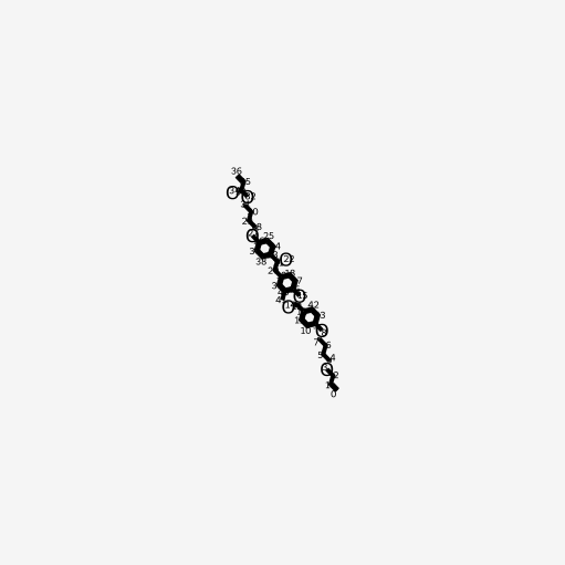 C=CCOCCCCOc1ccc(C(=O)Oc2ccc(CC(=O)c3ccc(OCCCCOC(=O)C=C)cc3)cc2C)cc1